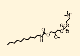 CCCCCCCCCCNC(=O)OCC(COP(=O)([O-])OCC[N+](C)(C)C)OC